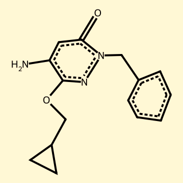 Nc1cc(=O)n(Cc2ccccc2)nc1OCC1CC1